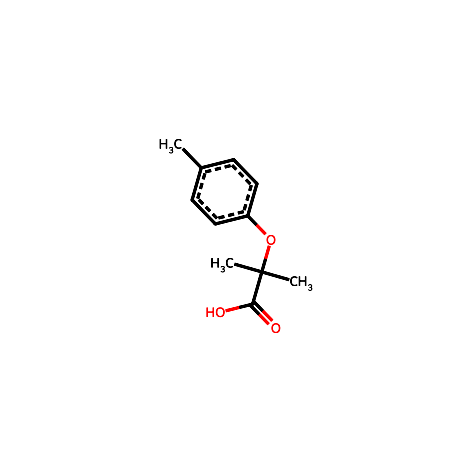 Cc1ccc(OC(C)(C)C(=O)O)cc1